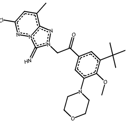 COc1c(N2CCOCC2)cc(C(=O)Cn2nc3c(C)cc(Cl)nn3c2=N)cc1C(C)(C)C